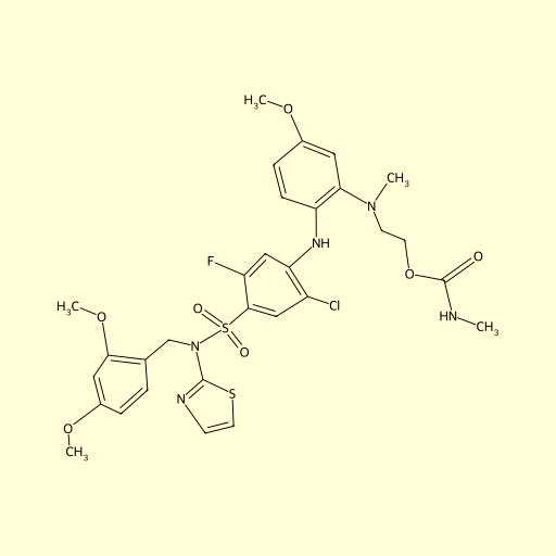 CNC(=O)OCCN(C)c1cc(OC)ccc1Nc1cc(F)c(S(=O)(=O)N(Cc2ccc(OC)cc2OC)c2nccs2)cc1Cl